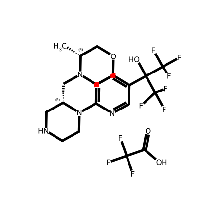 C[C@@H]1COCCN1C[C@H]1CNCCN1c1ncc(C(O)(C(F)(F)F)C(F)(F)F)cn1.O=C(O)C(F)(F)F